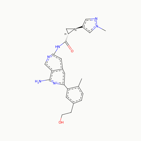 Cc1ccc(CCO)cc1-c1cc2cc(NC(=O)[C@@H]3C[C@H]3c3cnn(C)c3)ncc2c(N)n1